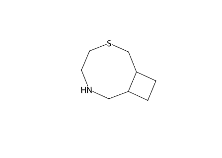 C1CSCC2CCC2CN1